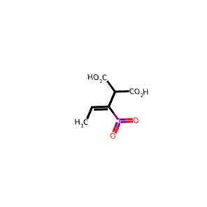 C/C=C(/C(C(=O)O)C(=O)O)I(=O)=O